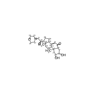 CC12CC(O)C(O)CC1C(=O)C=C1C2CCC2(C)C(C(=O)CN3CCOCC3)CCC12